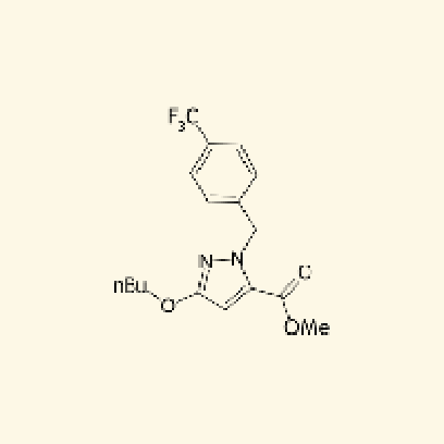 CCCCOc1cc(C(=O)OC)n(Cc2ccc(C(F)(F)F)cc2)n1